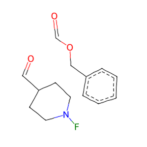 O=CC1CCN(F)CC1.O=COCc1ccccc1